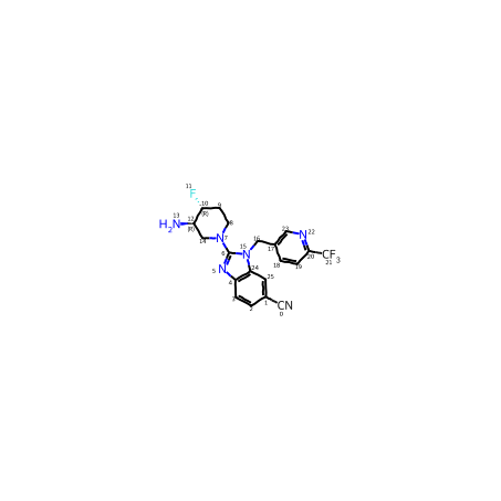 N#Cc1ccc2nc(N3CC[C@@H](F)[C@H](N)C3)n(Cc3ccc(C(F)(F)F)nc3)c2c1